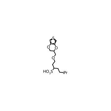 CC(C)CCC(CCOCC1COc2cscc2O1)S(=O)(=O)O